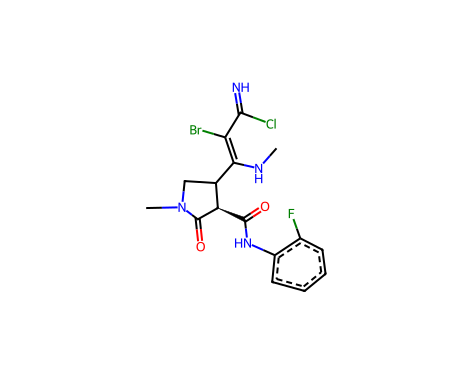 CN/C(=C(/Br)C(=N)Cl)C1CN(C)C(=O)[C@@H]1C(=O)Nc1ccccc1F